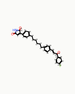 O=C1C=C(c2ccc(CCCCCCc3ccc(C=CC(=O)c4ccc(F)cc4)cc3)cc2)C(=O)N1